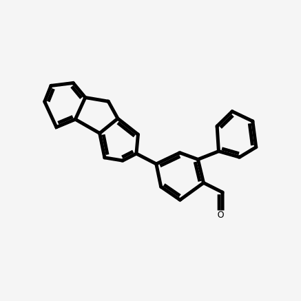 O=Cc1ccc(-c2ccc3c(c2)Cc2ccccc2-3)cc1-c1ccccc1